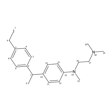 CC(c1ccc(CI)cc1)c1ccc(N(C)CCN(C)C)cc1